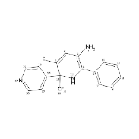 CC1=CC(N)=C(c2ccccc2)NC1(c1ccncc1)C(F)(F)F